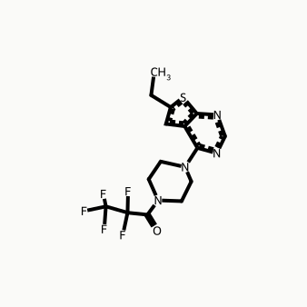 CCc1cc2c(N3CCN(C(=O)C(F)(F)C(F)(F)F)CC3)ncnc2s1